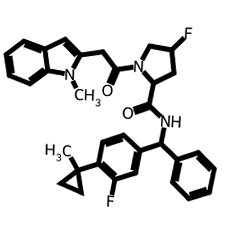 Cn1c(CC(=O)N2CC(F)CC2C(=O)NC(c2ccccc2)c2ccc(C3(C)CC3)c(F)c2)cc2ccccc21